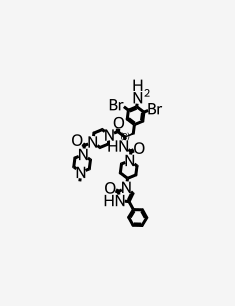 CN1CCN(C(=O)N2CCN(C(=O)[C@@H](Cc3cc(Br)c(N)c(Br)c3)NC(=O)N3CCC(n4cc(-c5ccccc5)[nH]c4=O)CC3)CC2)CC1